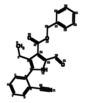 CCc1c(-c2ccccc2C#N)[nH]c(C=O)c1C(=O)OCc1ccccc1